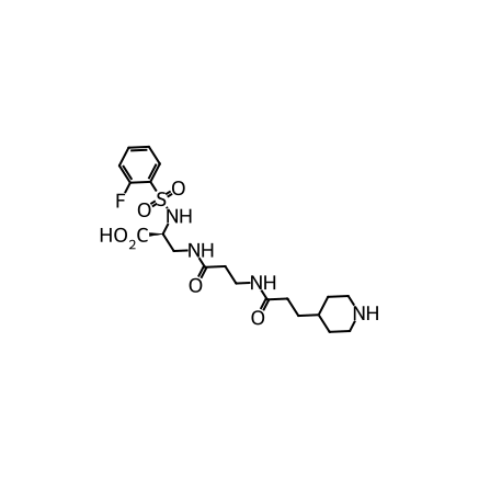 O=C(CCC1CCNCC1)NCCC(=O)NC[C@H](NS(=O)(=O)c1ccccc1F)C(=O)O